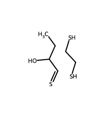 CCC(O)C=S.SCCS